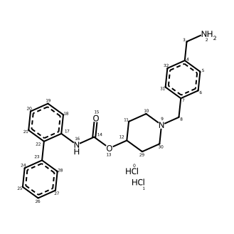 Cl.Cl.NCc1ccc(CN2CCC(OC(=O)Nc3ccccc3-c3ccccc3)CC2)cc1